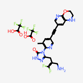 Cc1cc(C#Cc2cnc3c(c2)NCCO3)cnc1-n1c(CC(CN)=C(F)F)n[nH]c1=O.O=C(O)C(F)(F)F.O=C(O)C(F)(F)F